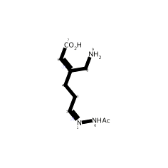 CC(=O)N/N=C\CC/C(=C/C(=O)O)CN